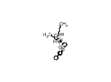 CCCCCCNC(=O)OC(CCCCC)NC(=O)OC1CCCCN1C(=O)Oc1ccc(C2CCCCC2)cc1